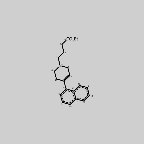 CCOC(=O)CCCN1CC=C(c2cccc3ccccc23)CC1